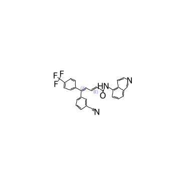 N#Cc1cccc(/C(=C\C=C\C(=O)Nc2cccc3cnccc23)c2ccc(C(F)(F)F)cc2)c1